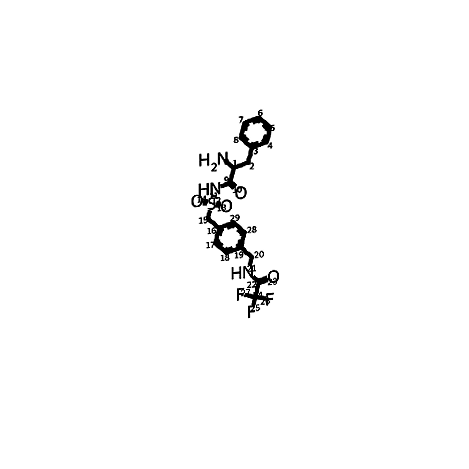 NC(Cc1ccccc1)C(=O)NS(=O)(=O)Cc1ccc(CNC(=O)C(F)(F)F)cc1